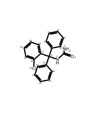 NC(=O)NC(c1ccccc1)(c1ccccc1)c1ccccc1Cl